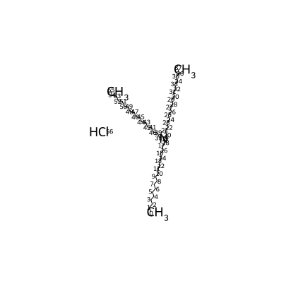 CCCCCCCCCCCCCCCCCCCN(CCCCCCCCCCCCCCCCCC)CCCCCCCCCCCCCCCCCC.Cl